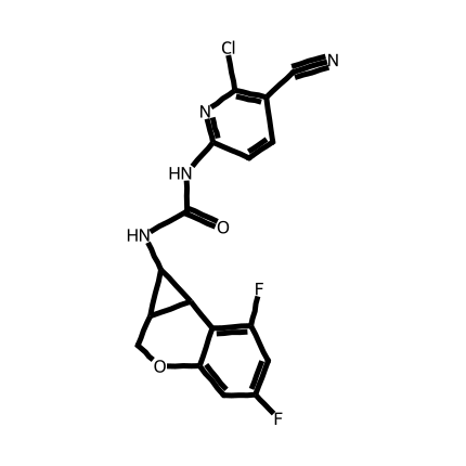 N#Cc1ccc(NC(=O)NC2C3COc4cc(F)cc(F)c4C32)nc1Cl